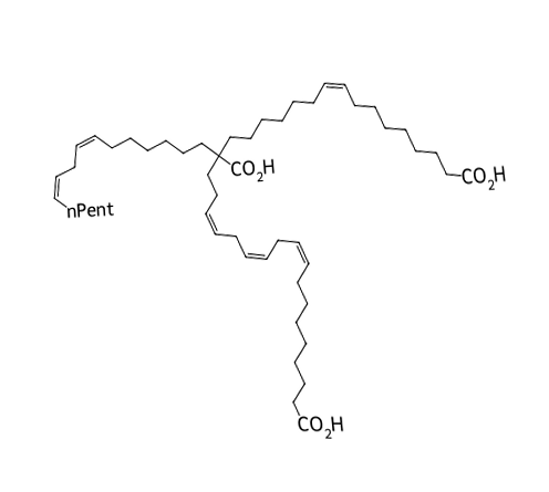 CCCCC/C=C\C/C=C\CCCCCCC(CC/C=C\C/C=C\C/C=C\CCCCCCCC(=O)O)(CCCCCC/C=C\CCCCCCCC(=O)O)C(=O)O